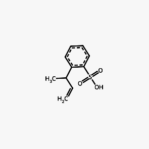 C=CC(C)c1ccccc1S(=O)(=O)O